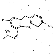 CCN(C)/C=N\c1cc(Cl)cc(Cc2ccc(C)cc2)c1C